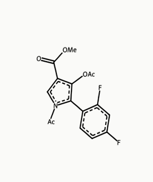 COC(=O)c1cn(C(C)=O)c(-c2ccc(F)cc2F)c1OC(C)=O